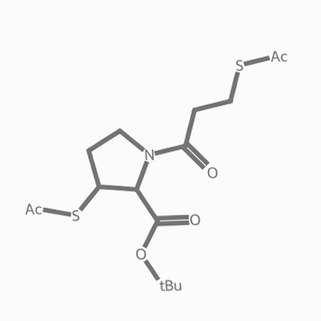 CC(=O)SCCC(=O)N1CCC(SC(C)=O)C1C(=O)OC(C)(C)C